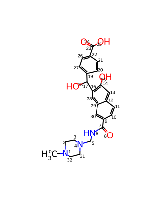 CN1CCN(CNC(=O)c2ccc3cc(O)c(C(O)c4ccc(C(=O)O)cc4)cc3c2)CC1